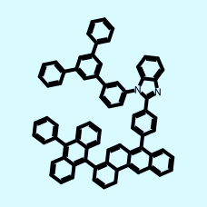 C1=CC(c2c3ccccc3c(-c3ccccc3)c3ccccc23)=C2C=Cc3c(cc4ccccc4c3-c3ccc(-c4nc5ccccc5n4-c4cccc(-c5cc(-c6ccccc6)cc(-c6ccccc6)c5)c4)cc3)C2C1